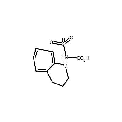 O=C(O)N[SH](=O)=O.c1ccc2c(c1)CCCO2